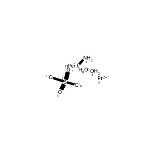 CCCCCN.O.O.O=S(=O)([O-])[O-].[Pt+2]